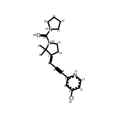 CC1(C)/C(=C/C#Cc2cc(Cl)ccn2)CCN1C(=O)N1CCCC1